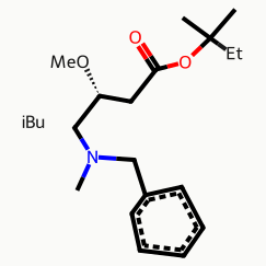 CC[C@H](C)C([C@@H](CC(=O)OC(C)(C)CC)OC)N(C)Cc1ccccc1